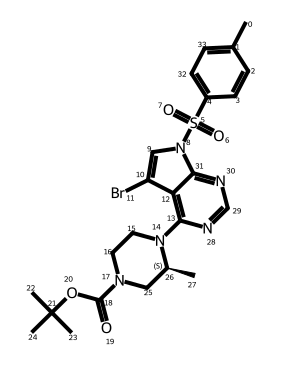 Cc1ccc(S(=O)(=O)n2cc(Br)c3c(N4CCN(C(=O)OC(C)(C)C)C[C@@H]4C)ncnc32)cc1